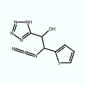 [N-]=[N+]=NC(c1cccs1)C(O)c1nnn[nH]1